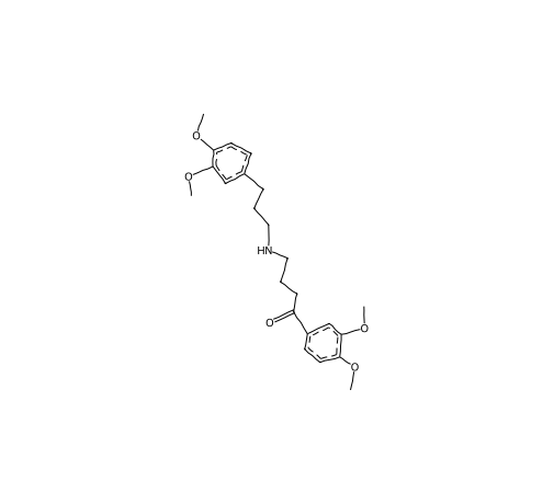 COc1ccc(CCCNCCCC(=O)c2ccc(OC)c(OC)c2)cc1OC